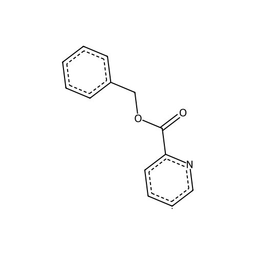 O=C(OCc1ccccc1)c1cc[c]cn1